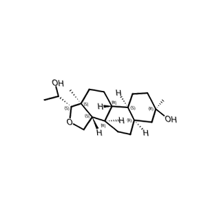 CC(O)[C@H]1OC[C@H]2[C@@H]3CC[C@@H]4C[C@](C)(O)CC[C@@H]4[C@H]3CC[C@]12C